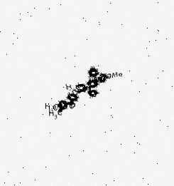 C\C=C/C(=C\C=C\Oc1ccc(C(=O)c2ccc(C)c(C)c2)cc1)N(c1ccccc1)c1ccc(N(c2ccccc2)c2ccc(OC)cc2)cc1